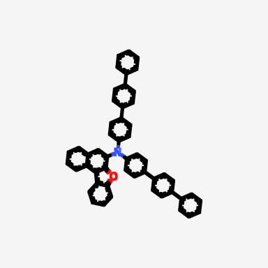 c1ccc(-c2ccc(-c3ccc(N(c4ccc(-c5ccc(-c6ccccc6)cc5)cc4)c4cc5ccccc5c5c4oc4ccccc45)cc3)cc2)cc1